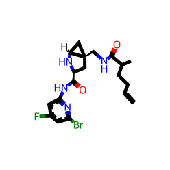 C=CCCC(C)C(=O)NC[C@@]12C[C@@H](C(=O)Nc3cc(F)cc(Br)n3)N[C@@H]1C2